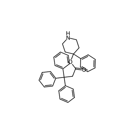 O=C(CC(c1ccccc1)(c1ccccc1)c1ccccc1)OC1(c2ccccc2)CCNCC1